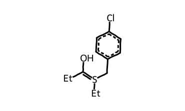 CCC(O)=S(CC)Cc1ccc(Cl)cc1